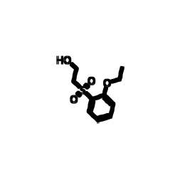 CCOc1cc[c]cc1S(=O)(=O)CCO